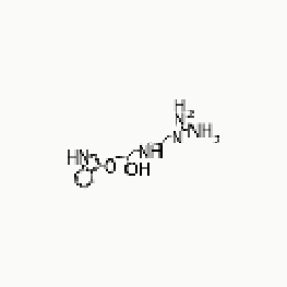 NC(N)=NCCCNCC(O)COc1c[nH]c2ccccc12